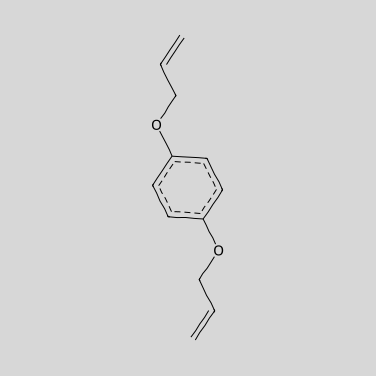 C=CCOc1ccc(OCC=C)cc1